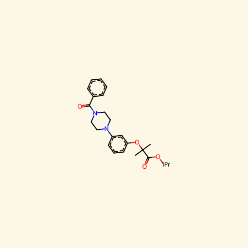 CC(C)OC(=O)C(C)(C)Oc1cccc(N2CCN(C(=O)c3ccccc3)CC2)c1